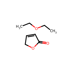 CCOCC.O=C1C=CCO1